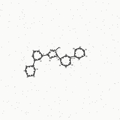 Cn1nc(-c2cccc(-c3ccccc3)c2)nc1-c1cccc(-c2ccccc2)c1